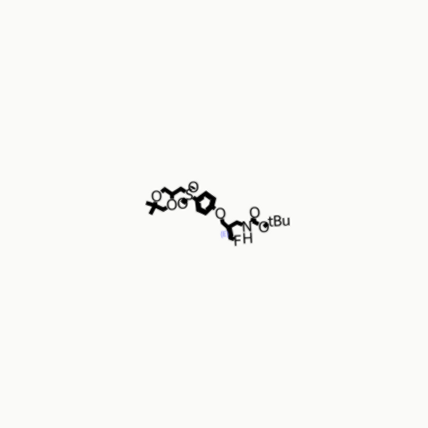 CC(C)(C)OC(=O)NC/C(=C\F)COc1ccc(S(=O)(=O)CC2COC(C)(C)CO2)cc1